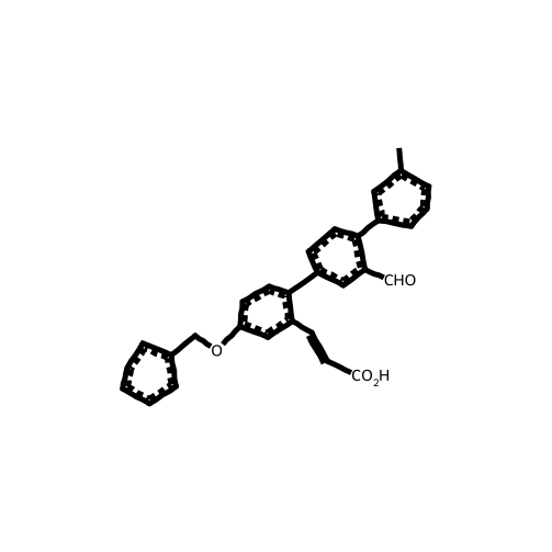 Cc1cccc(-c2ccc(-c3ccc(OCc4ccccc4)cc3/C=C/C(=O)O)cc2C=O)c1